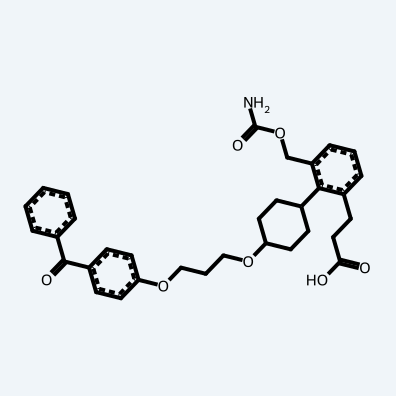 NC(=O)OCc1cccc(CCC(=O)O)c1C1CCC(OCCCOc2ccc(C(=O)c3ccccc3)cc2)CC1